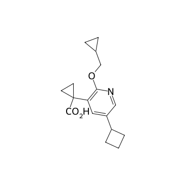 O=C(O)C1(c2cc(C3CCC3)cnc2OCC2CC2)CC1